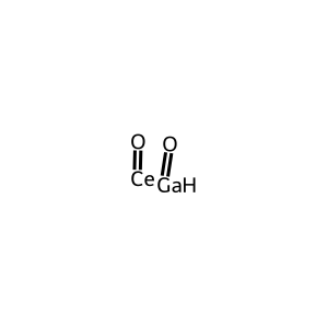 [O]=[Ce].[O]=[GaH]